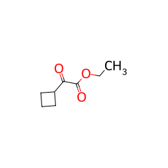 CCOC(=O)C(=O)C1CCC1